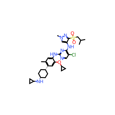 Cc1cc(Nc2ncc(Cl)c(Nc3cn(C)nc3S(=O)(=O)CC(C)C)n2)c(OC2CC2)cc1[C@H]1CC[C@@H](NC2CC2)CC1